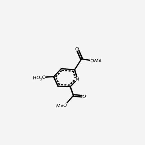 COC(=O)c1cc(C(=O)O)cc(C(=O)OC)n1